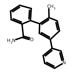 Cc1ccc(-c2cccnc2)cc1-c1cc[c]cc1C(N)=O